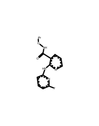 CC(C)ONC(=O)c1cccnc1Nc1cccc(F)n1